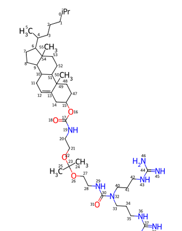 CC(C)CCCC(C)C1CCC2C3CC=C4CC(OC(=O)NCCOC(C)(C)OCCNC(=O)N(CCCNC(=N)N)CCCNC(=N)N)CCC4(C)C3CCC12C